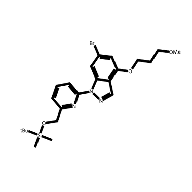 COCCCOc1cc(Br)cc2c1cnn2-c1cccc(CO[Si](C)(C)C(C)(C)C)n1